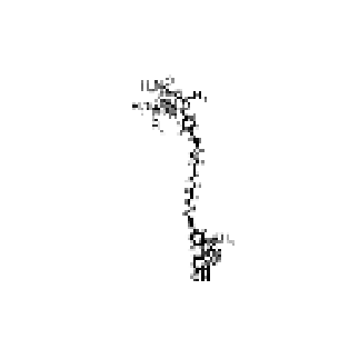 C[C@@H](OCc1ccc(C#CCOCCCCCCCCOCC#Cc2ccc3c(c2)n(C)c(=O)n3C2CCC(=O)NC2=O)cc1)[C@H](CCC(N)=O)NC(=O)OC(C)(C)C